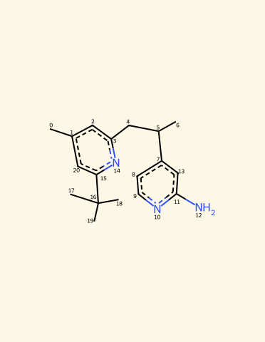 Cc1cc(CC(C)c2ccnc(N)c2)nc(C(C)(C)C)c1